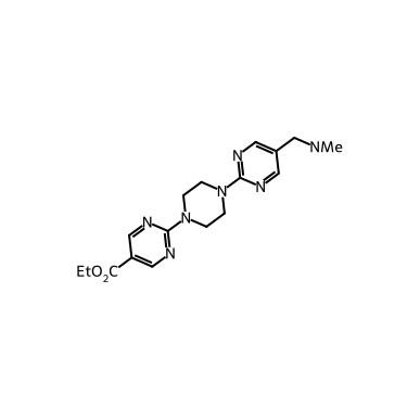 CCOC(=O)c1cnc(N2CCN(c3ncc(CNC)cn3)CC2)nc1